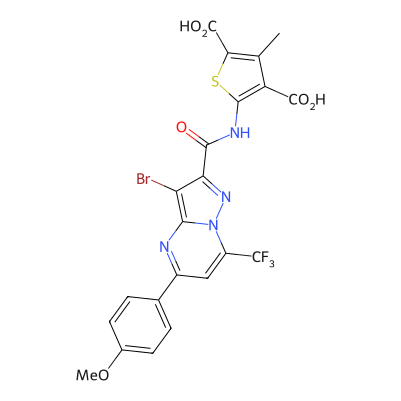 COc1ccc(-c2cc(C(F)(F)F)n3nc(C(=O)Nc4sc(C(=O)O)c(C)c4C(=O)O)c(Br)c3n2)cc1